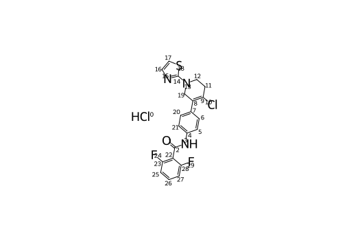 Cl.O=C(Nc1ccc(C2=C(Cl)CCN(c3nccs3)C2)cc1)c1c(F)cccc1F